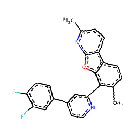 Cc1ccc2c(n1)oc1c(-c3cc(-c4ccc(F)c(F)c4)ccn3)c(C)ccc12